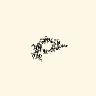 C=CC(=O)N1CCO[C@H]2CN(C(=O)N(C)[C@H](C(=O)N[C@H]3Cc4nc(cs4)-c4ccc5c(c4)c(c(-c4cccnc4[C@H](C)OC)n5CC)CC(C)(C)COC(=O)[C@@]4([SiH3])CCCN(N4)C3=O)C(C)C)C[C@H]21